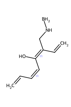 BNC/C(C=C)=C(O)/C=C\C=C